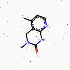 CCc1ccnc2c1CN(C)C(=O)N2